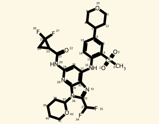 CS(=O)(=O)c1cc(C2CCOCC2)ccc1Nc1cc(NC(=O)C2CC2(F)F)nc2c1nc(C(F)F)n2C1CCCCO1